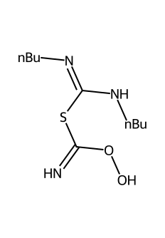 CCCCN=C(NCCCC)SC(=N)OO